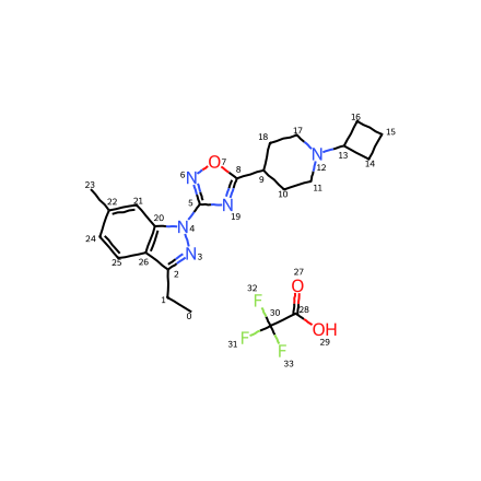 CCc1nn(-c2noc(C3CCN(C4CCC4)CC3)n2)c2cc(C)ccc12.O=C(O)C(F)(F)F